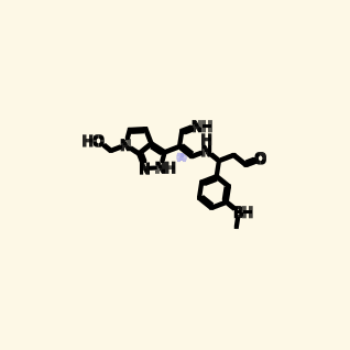 CBc1cccc(C(CC=O)N/C=C(\C=N)c2[nH]nc3c2ccn3CO)c1